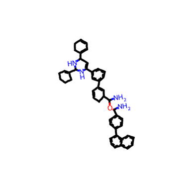 NC(OC(N)C1C=C(c2cccc(C3=CC(C4=CC=CCC4)NC(C4=CCCCC4)N3)c2)C=CC1)c1ccc(-c2cccc3ccccc23)cc1